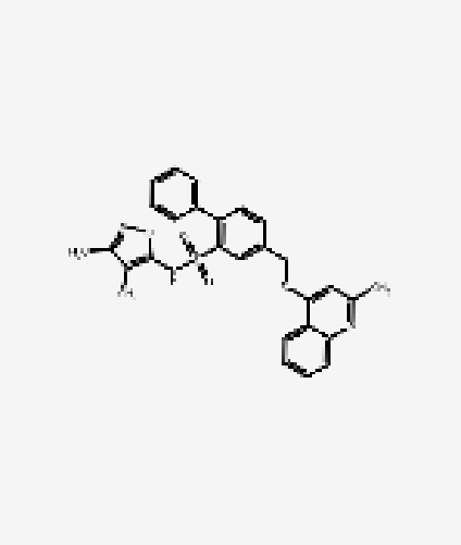 Cc1cc(OCc2ccc(-c3ccccc3)c(S(=O)(=O)Nc3onc(C)c3C)c2)c2ccccc2n1